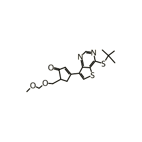 COCOCC1CC(c2csc3c(SC(C)(C)C)ncnc23)=CC1=O